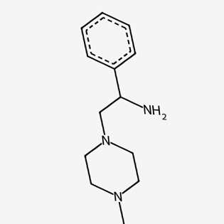 CN1CCN(CC(N)c2ccccc2)CC1